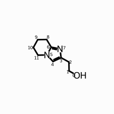 OCCc1cn2c(n1)CCCC2